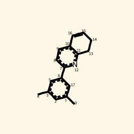 Cc1cc(C)cc(-c2ccc3c(n2)CCC=C3)c1